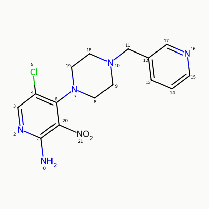 Nc1ncc(Cl)c(N2CCN(Cc3cccnc3)CC2)c1[N+](=O)[O-]